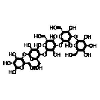 OC[C@H]1O[C@H](O[C@H]2[C@@H](O)[C@@H](CO)O[C@H](O[C@H]3[C@@H](O)[C@@H](CO)O[C@H](O[C@@H]4[C@H](O)[C@@H](O)[C@H](O[C@H]5[C@H](O)[C@@H](O)[C@H](O)O[C@@H]5CO)O[C@@H]4CO)[C@@H]3O)[C@@H]2O)[C@H](O)[C@@H](O)[C@H]1O